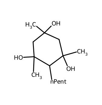 CCCCCC1C(C)(O)CC(C)(O)CC1(C)O